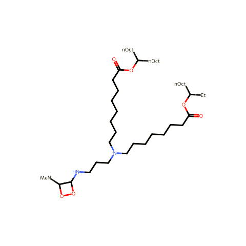 CCCCCCCCC(CC)OC(=O)CCCCCCCN(CCCCCCCC(=O)OC(CCCCCCCC)CCCCCCCC)CCCNC1OOC1NC